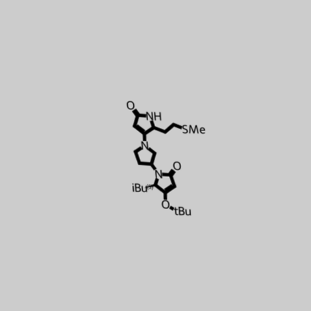 CC[C@H](C)C1C(OC(C)(C)C)=CC(=O)N1C1CCN(C2=CC(=O)NC2CCSC)C1